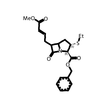 CCS[C@H]1CC2C(CC=CC(=O)OC)C(=O)N2[C@@H]1C(=O)OCc1ccccc1